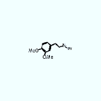 COc1ccc(CC[N]C(C)C)cc1OC